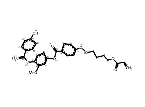 C=CC(=O)OCCCCOOc1ccc(C(=O)Oc2ccc(OC(=C)c3ccc(O)cc3)c(OC)c2)cc1